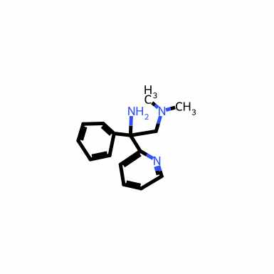 CN(C)CC(N)(c1ccccc1)c1ccccn1